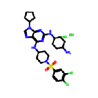 Cl.Cl.NC1CCC(Nc2nc(NC3CCN(S(=O)(=O)c4ccc(Cl)c(Cl)c4)CC3)c3ncn(C4CCCC4)c3n2)CC1